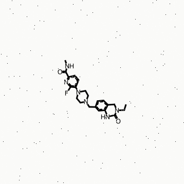 CCN1Cc2ccc(CN3CCN(c4ccc(C(=O)NC)nc4F)CC3)cc2NC1=O